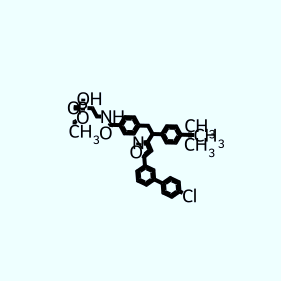 CCOP(=O)(O)CCNC(=O)c1ccc(CC(c2ccc(C(C)(C)C)cc2)c2cc(-c3cccc(-c4ccc(Cl)cc4)c3)on2)cc1